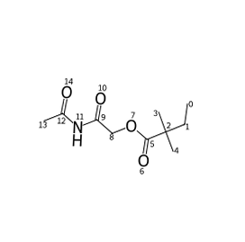 CCC(C)(C)C(=O)OCC(=O)NC(C)=O